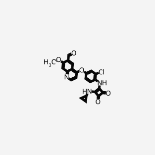 COc1cc2nccc(Oc3ccc(Nc4c(NC5CC5)c(=O)c4=O)c(Cl)c3)c2cc1C=O